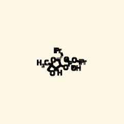 CC(C)C[C@H]1O[C@@]2(C)CO[C@H]2C1OP(=O)(O)OC(C)C